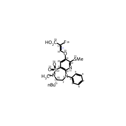 CCCC[C@H]1CN(c2ccccc2)c2nc(SC)c(O/C=C(\F)C(=O)O)cc2S(=O)(=O)N1C